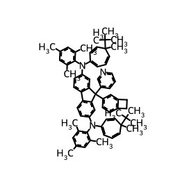 Cc1cc(C)c(N(C2=CC=CC(C)(C(C)(C)C)C=C2)c2ccc3c(c2)C(c2cccnc2)(c2ccc4c(c2)CC4)c2cc(N(C4=CC=CC(C)(C(C)(C)C)C=C4)c4c(C)cc(C)cc4C)ccc2-3)c(C)c1